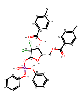 Cc1ccc(C(=O)OC[C@@H]2OC(OP(=O)(Oc3ccccc3)Oc3ccccc3)C(Cl)(Cl)[C@@H]2OC(=O)c2ccc(C)cc2)cc1